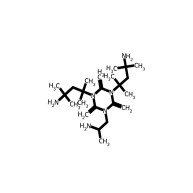 C=C1N(CC(C)N)C(=C)N(C(C)(C)CC(C)(C)N)C(=C)N1C(C)(C)CC(C)(C)N